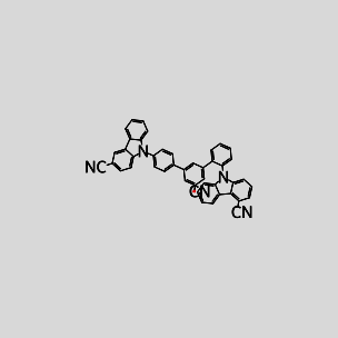 N#Cc1cc(-c2ccc(-n3c4ccccc4c4cc(C#N)ccc43)cc2)cc(-c2ccccc2-n2c3ccccc3c3c(C#N)cccc32)c1